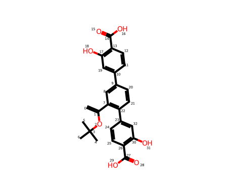 C=C(OC(C)(C)C)c1cc(-c2ccc(C(=O)O)c(O)c2)ccc1-c1ccc(C(=O)O)c(O)c1